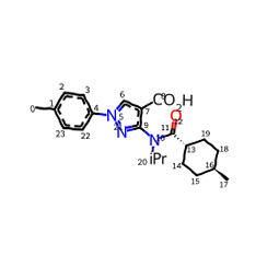 Cc1ccc(-n2cc(C(=O)O)c(N(C(=O)[C@H]3CC[C@H](C)CC3)C(C)C)n2)cc1